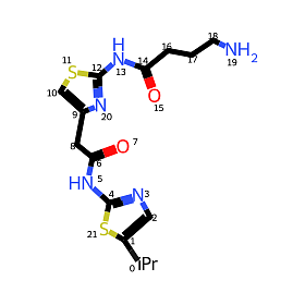 CC(C)c1cnc(NC(=O)Cc2csc(NC(=O)CCCN)n2)s1